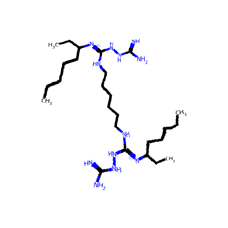 CCCCCC(CC)/N=C(\NCCCCCCN/C(=N\C(CC)CCCCC)NNC(=N)N)NNC(=N)N